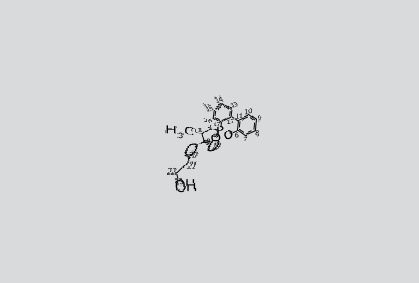 CC(CP1(=O)Oc2ccccc2-c2ccccc21)C(=O)OCCO